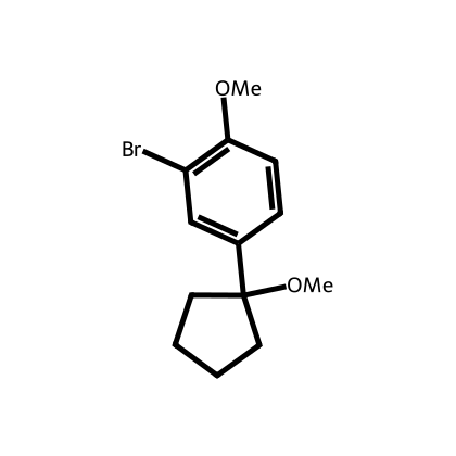 COc1ccc(C2(OC)CCCC2)cc1Br